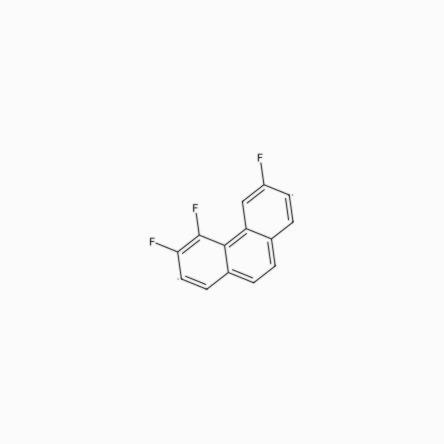 Fc1[c]cc2ccc3c[c]c(F)c(F)c3c2c1